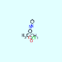 CC(C)(OC(=O)Cl)c1ccc(/N=N/c2ccccc2)cc1